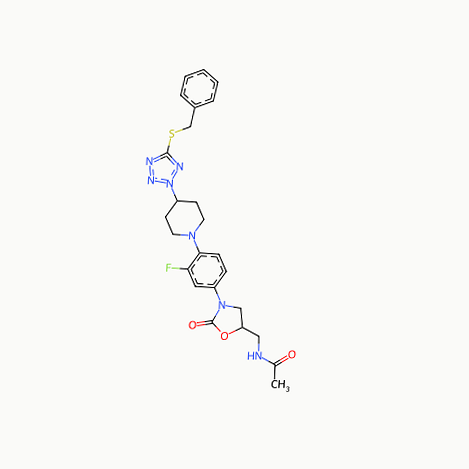 CC(=O)NCC1CN(c2ccc(N3CCC(n4nnc(SCc5ccccc5)n4)CC3)c(F)c2)C(=O)O1